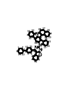 c1ccc(-c2ccc(-c3nc(-n4c5ccccc5c5c6c7c8ccccc8ccc7n7c8ccccc8c(cc54)c67)nc4oc5ccccc5c34)cc2)cc1